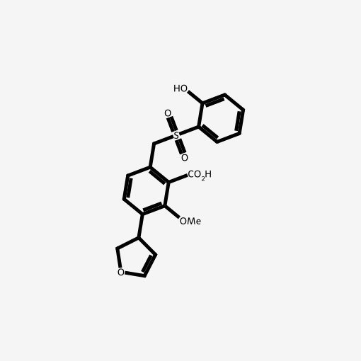 COc1c(C2C=COC2)ccc(CS(=O)(=O)c2ccccc2O)c1C(=O)O